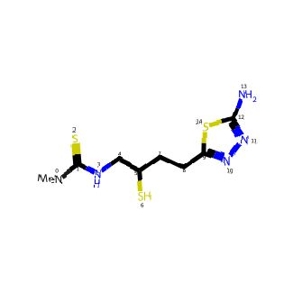 CNC(=S)NCC(S)CCc1nnc(N)s1